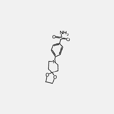 NS(=O)(=O)c1ccc(N2CCC3(CC2)OCCO3)cc1